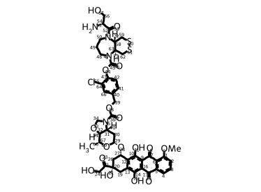 COc1cccc2c1C(=O)c1c(O)c3c(c(O)c1C2=O)C[C@@](O)(C(=O)CO)C[C@@H]3O[C@H]1C[C@@H]2[C@H](OCN2C(=O)OCc2ccc(OC(=O)N3CCCN(C(=O)[C@@H](N)CO)[C@@H]4CSSC[C@H]43)c(Cl)c2)[C@H](C)O1